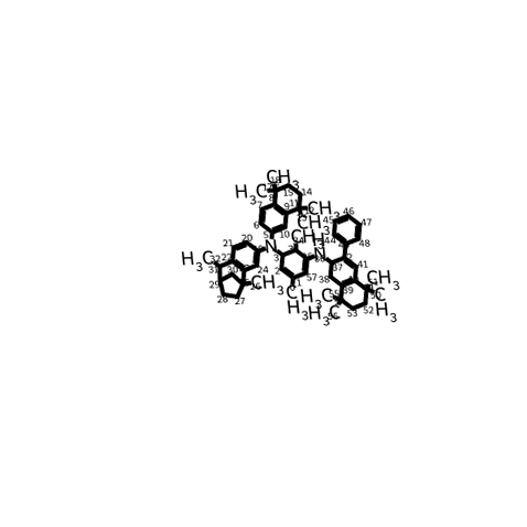 CC1=CC(N(c2ccc3c(c2)C(C)(C)CCC3(C)C)c2ccc3c(c2)C2(C)CCC(C2)C3C)C(C)C(NC2CC3=C(C=C2c2ccccc2)C(C)(C)CCC3(C)C)=C1